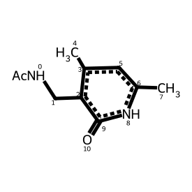 CC(=O)NCc1c(C)cc(C)[nH]c1=O